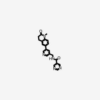 CN1C(=O)CCc2cc(-c3cncc(CNC(=O)c4cncnc4)c3)ccc21